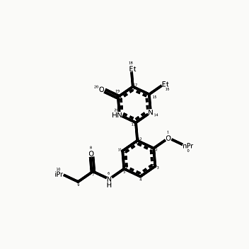 CCCOc1ccc(NC(=O)CC(C)C)cc1-c1nc(CC)c(CC)c(=O)[nH]1